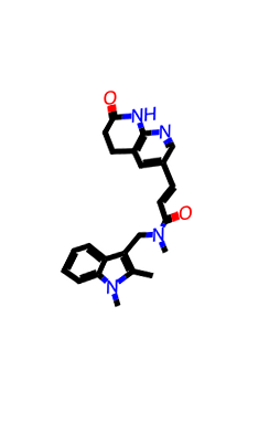 Cc1c(CN(C)C(=O)C=Cc2cnc3c(c2)CCC(=O)N3)c2ccccc2n1C